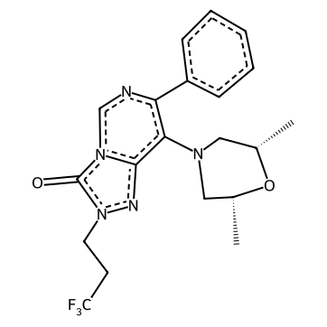 C[C@@H]1CN(c2c(-c3ccccc3)ncn3c(=O)n(CCC(F)(F)F)nc23)C[C@H](C)O1